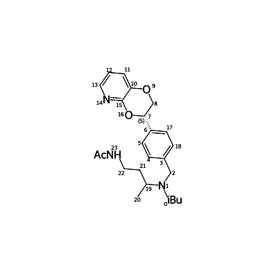 CCC(C)N(Cc1ccc([C@H]2COc3cccnc3O2)cc1)C(C)CCNC(C)=O